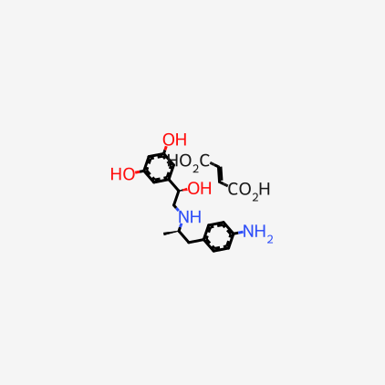 C[C@H](Cc1ccc(N)cc1)NC[C@H](O)c1cc(O)cc(O)c1.O=C(O)C=CC(=O)O